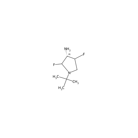 CC(C)(C)N1CC(F)[C@@H](N)C1F